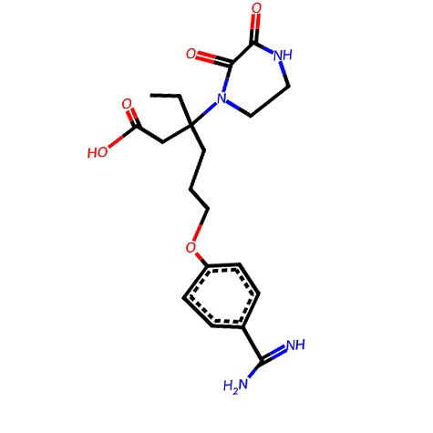 CCC(CCCOc1ccc(C(=N)N)cc1)(CC(=O)O)N1CCNC(=O)C1=O